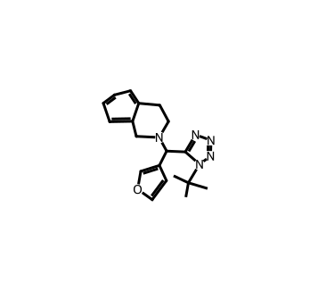 CC(C)(C)n1nnnc1C(c1ccoc1)N1CCc2ccccc2C1